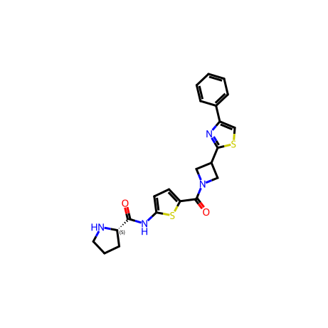 O=C(Nc1ccc(C(=O)N2CC(c3nc(-c4ccccc4)cs3)C2)s1)[C@@H]1CCCN1